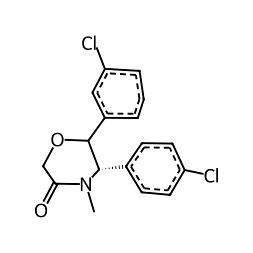 CN1C(=O)COC(c2cccc(Cl)c2)[C@@H]1c1ccc(Cl)cc1